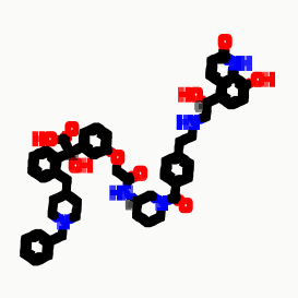 O=C(COc1cccc([C@@](O)(C(=O)O)c2ccccc2CC2CCN(Cc3ccccc3)CC2)c1)N[C@@H]1CCCN(C(=O)c2ccc(CCNC[C@H](O)c3ccc(O)c4[nH]c(=O)ccc34)cc2)C1